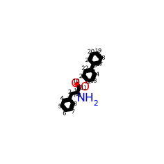 N[C@@H](Cc1ccccc1)C(=O)Oc1ccc(-c2ccccc2)cc1